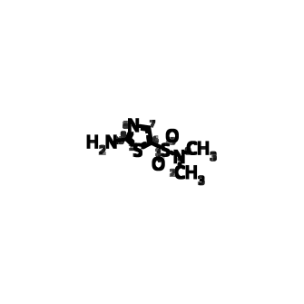 CN(C)S(=O)(=O)c1cnc(N)s1